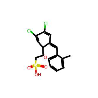 Cc1ccccc1/C=C1/C=C(Cl)C(Cl)=CC1C(=O)CS(=O)(=O)O